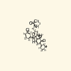 CC(=O)NCC1C[NH+]([O-])C(Nc2cccc(Cl)c2)(c2ccc(-c3cccnc3)c(Cl)c2)O1